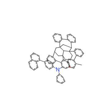 Cc1ccccc1-c1ccccc1C12CCCC34CC(CC5(CC1c1ccccc1-c1ccccc15)C32)c1ccccc1-c1c(N(c2ccccc2)c2ccc(-c3cccc5ccccc35)cc2)cccc14